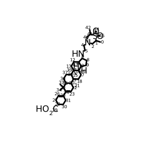 CC1CN(CCN[C@@H]2CC[C@H]3C2CC[C@]2(C)[C@@H]3CCC3[C@@]4(C)CC=C(C5=CC[C@H](C(=O)O)CC5)C(C)(C)C4CC[C@]32C)CC(C)S1(=O)=O